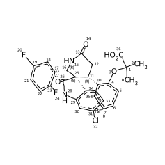 CC(C)(Oc1ccc(Br)cc1[C@H]1CC(=O)N[C@@H](c2cc(F)ccc2F)[C@]12C(=O)Nc1cc(Cl)ccc12)C(=O)O